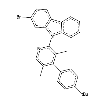 Cc1cnc(-n2c3ccccc3c3ccc(Br)cc32)c(C)c1-c1ccc(C(C)(C)C)cc1